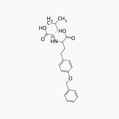 CC(C)C[C@H](NC(CCc1ccc(OCc2ccccc2)cc1)C(=O)O)C(=O)O